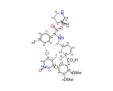 COc1ccc([C@H](Cc2c(Cl)c[n+]([O-])cc2Cl)C2(C(=O)O)C=CC=C(CNC(C(=O)O[C@H]3CN4CCC3CC4)c3ccc(F)cc3)C2)cc1OC